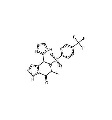 CC1C(=O)c2[nH]ncc2C(c2ncc[nH]2)N1S(=O)(=O)c1ccc(C(F)(F)F)cc1